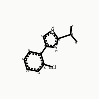 CC(C)c1ncc(-c2ccccc2Cl)s1